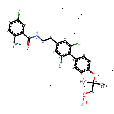 COc1ccc(Cl)cc1C(=O)NCCc1cc(Cl)c(-c2ccc(OC(C)(C)COO)cc2)c(Cl)c1